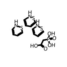 C1=CNSC=C1.C1=CNSC=C1.C1=CNSC=C1.O=C(O)CP(=O)(O)O